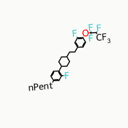 CCCCCc1ccc(C2CCC(CCc3ccc(OC(F)(F)C(F)C(F)(F)F)c(F)c3)CC2)c(F)c1